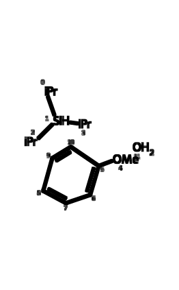 CC(C)[SiH](C(C)C)C(C)C.COc1ccccc1.O